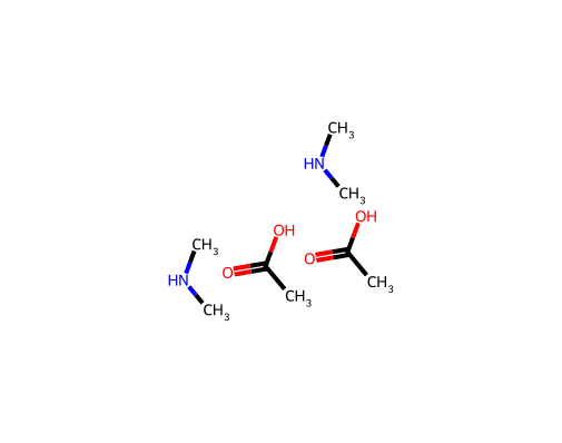 CC(=O)O.CC(=O)O.CNC.CNC